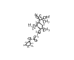 Cc1cc(C(=O)C(C)(C)O)cc(C)c1OCCOC(=O)C(=O)c1ccccc1